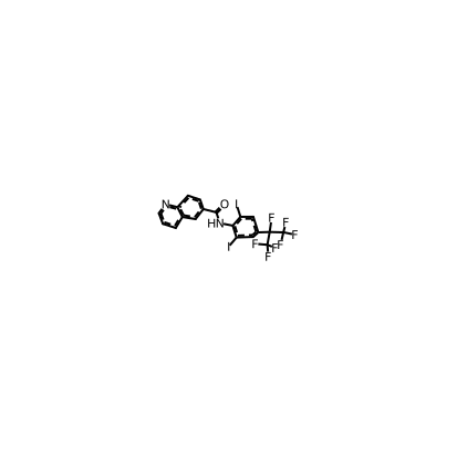 O=C(Nc1c(I)cc(C(F)(C(F)(F)F)C(F)(F)F)cc1I)c1ccc2ncccc2c1